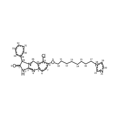 O=C1NC2=Nc3ccc(OCCCCCCCCn4ccnc4)c(Cl)c3CN2C1c1ccccc1